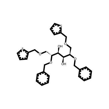 O[C@@H]([C@H](O)[C@@H](COCc1cccs1)OCc1ccccc1)[C@@H](COCc1cccs1)OCc1ccccc1